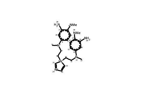 CNc1ccc(N(C)CC[N+]2(CCN(C)c3ccc(NC)c(N)c3)C=C[N+]=C2)cc1N